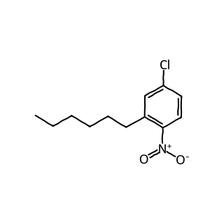 CCCCCCc1cc(Cl)ccc1[N+](=O)[O-]